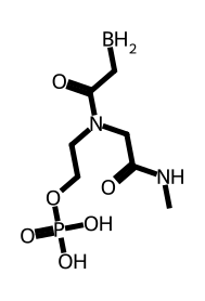 BCC(=O)N(CCOP(=O)(O)O)CC(=O)NC